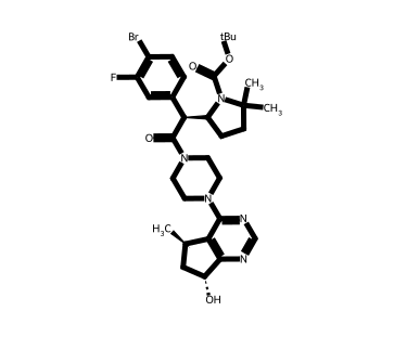 C[C@@H]1C[C@@H](O)c2ncnc(N3CCN(C(=O)[C@@H](c4ccc(Br)c(F)c4)C4CCC(C)(C)N4C(=O)OC(C)(C)C)CC3)c21